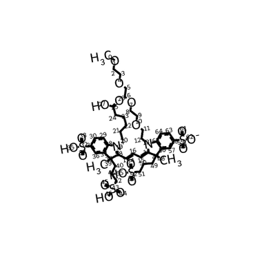 COCCOCCOCCOCCN1C(=CC=CC2=[N+](CCCCCC(=O)O)c3ccc(S(=O)(=O)O)cc3C2(C)CCCS(=O)(=O)O)C(C)(CCCS(=O)(=O)O)c2cc(S(=O)(=O)[O-])ccc21